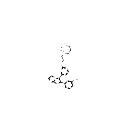 COc1cccc(-c2nc3occn3c2-c2ccnc(NCCN3CCCN(C)S3(=O)=O)n2)c1